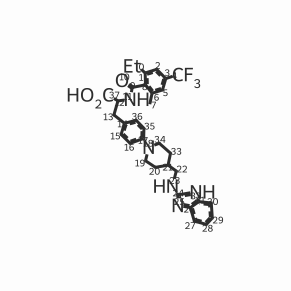 CCc1cc(C(F)(F)F)cc(C)c1C(=O)NC(Cc1ccc(N2CCC(CNc3nc4ccccc4[nH]3)CC2)cc1)C(=O)O